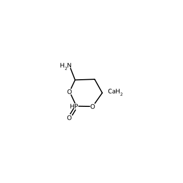 NC1CCO[PH](=O)O1.[CaH2]